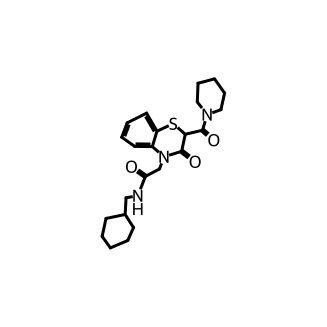 O=C(CN1C(=O)C(C(=O)N2CCCCC2)Sc2ccccc21)NCC1CCCCC1